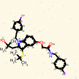 CC(C)(O)Cc1c(SC(C)(C)C)c2cc(OCC(=O)NCc3ccc(I)cc3)ccc2n1Cc1ccc(I)cc1